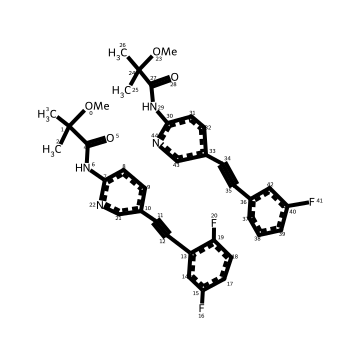 COC(C)(C)C(=O)Nc1ccc(C#Cc2cc(F)ccc2F)cn1.COC(C)(C)C(=O)Nc1ccc(C#Cc2cccc(F)c2)cn1